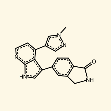 Cn1cc(-c2ccnc3[nH]cc(-c4ccc5c(c4)CNC5=O)c23)cn1